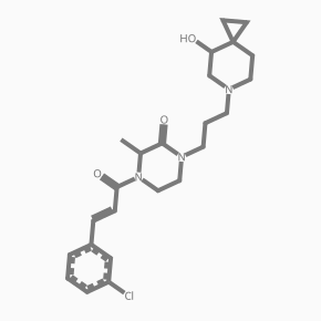 CC1C(=O)N(CCCN2CCC3(CC3)C(O)C2)CCN1C(=O)C=Cc1cccc(Cl)c1